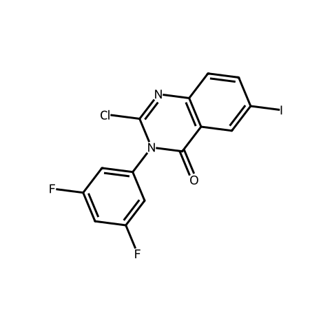 O=c1c2cc(I)ccc2nc(Cl)n1-c1cc(F)cc(F)c1